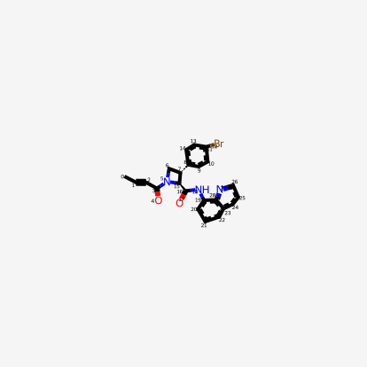 CC#CC(=O)N1C[C@H](c2ccc(Br)cc2)[C@H]1C(=O)Nc1cccc2cccnc12